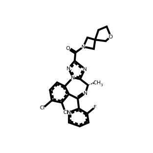 C[C@@H]1N=C(c2ncccc2F)c2c(ccc(Cl)c2Cl)-n2nc(C(=O)N3CC4(CCOC4)C3)nc21